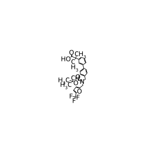 CC(C)(C)OC(=O)N(Cc1ccc(-c2cccc(C(C)(C)C(=O)O)c2)cc1)Cc1ccc(C(F)(F)F)o1